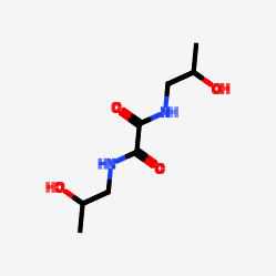 CC(O)CNC(=O)C(=O)NCC(C)O